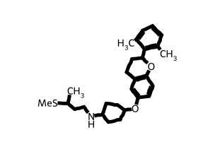 CSC(C)CCNC1CCC(Oc2ccc3c(c2)CCC(c2c(C)cccc2C)O3)CC1